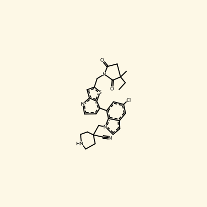 CCC1(C)CC(=O)N(Cc2cc3nccc(-c4cc(Cl)cc5ccn(CC6(C#N)CCNCC6)c45)c3s2)C1=O